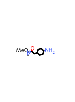 CON(C)C(=O)CC1CCC(N)CC1